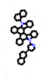 c1ccc2cc(-c3ccnc(-n4c5ccccc5c5c6c(c7ccccc7c54)c4ccccc4c4c6c5ccccc5n4-c4cccc5ccccc45)c3)ccc2c1